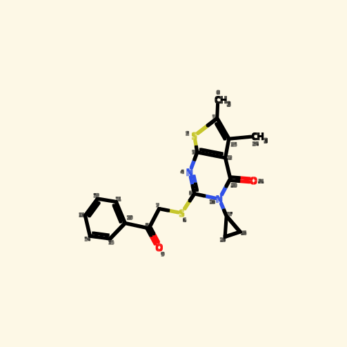 Cc1sc2nc(SCC(=O)c3ccccc3)n(C3CC3)c(=O)c2c1C